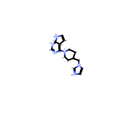 c1cn(CC2CCN(c3ncnc4[nH]ccc34)CC2)cn1